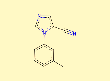 Cc1cccc(-n2cncc2C#N)c1